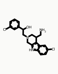 NCC1CN(CC(O)c2cccc(Cl)c2)Cc2[nH]c3ccc(Cl)cc3c21